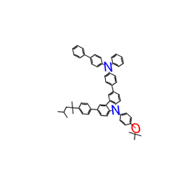 CC(C)CC(C)(C)c1ccc(-c2ccc3c(c2)c2cc(-c4ccc(N(c5ccccc5)c5ccc(-c6ccccc6)cc5)cc4)ccc2n3-c2ccc(OC(C)(C)C)cc2)cc1